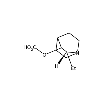 CC[C@@H]1C(OC(=O)O)C2CCN1CC2